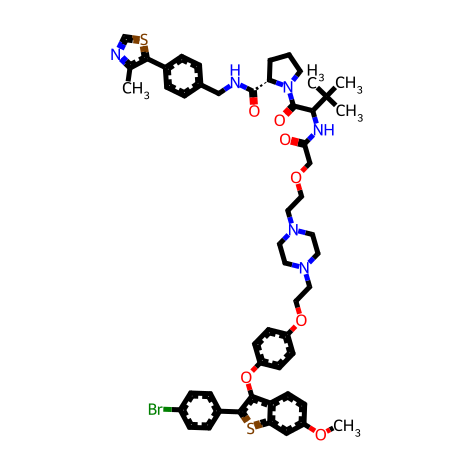 COc1ccc2c(Oc3ccc(OCCN4CCN(CCOCC(=O)NC(C(=O)N5CCC[C@H]5C(=O)NCc5ccc(-c6scnc6C)cc5)C(C)(C)C)CC4)cc3)c(-c3ccc(Br)cc3)sc2c1